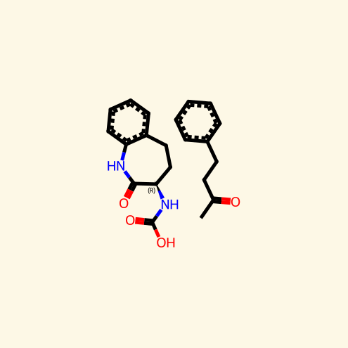 CC(=O)CCc1ccccc1.O=C(O)N[C@@H]1CCc2ccccc2NC1=O